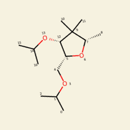 CC(C)OC[C@H]1O[C@@H](C)C(C)(C)[C@H]1OC(C)C